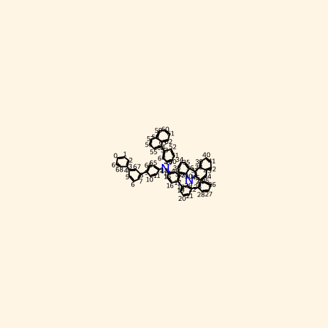 c1ccc(-c2cccc(-c3ccc(N(c4ccc(-c5cccc(-c6ccccc6)c5-n5c6ccccc6c6c7ccccc7ccc65)cc4)c4cccc(-c5cccc6ccccc56)c4)cc3)c2)cc1